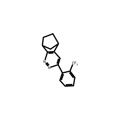 FC(F)(F)c1ccccc1-c1cc2c(nn1)C1CCC2C1